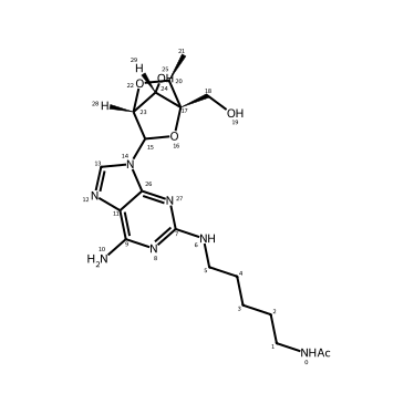 CC(=O)NCCCCCNc1nc(N)c2ncn(C3O[C@@]4(CO)[C@H](C)O[C@@H]3[C@@H]4O)c2n1